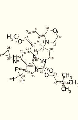 COc1cccc(C2(N3CCOCC3)CCN(C=O)CC2)c1-c1cc(NC2CC2)c2c(C(F)(F)F)cn(COCC[Si](C)(C)C)c2n1